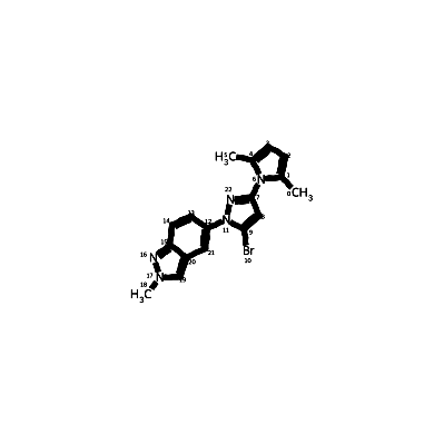 Cc1ccc(C)n1-c1cc(Br)n(-c2ccc3nn(C)cc3c2)n1